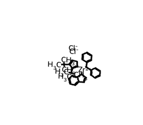 CC(C)(C)C1=CC[C]([Zr+2](=[C](c2ccccc2)c2ccccc2)[CH]2C=Cc3ccccc32)=C1C(C)(C)C.[Cl-].[Cl-]